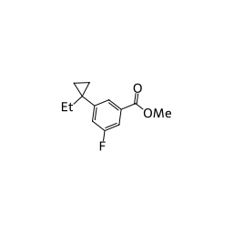 CCC1(c2cc(F)cc(C(=O)OC)c2)CC1